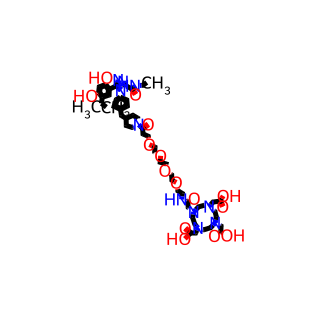 CCNC(=O)c1nnc(-c2cc(C(C)C)c(O)cc2O)n1-c1ccc(CC2CCN(C(=O)CCOCCOCCOCCOCCNC(=O)CN3CCN(CC(=O)O)CCN(CC(=O)O)CCN(CC(=O)O)CC3)CC2)cc1